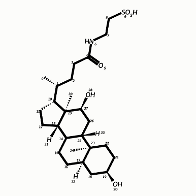 C[C@H](CCC(=O)NCCS(=O)(=O)O)[C@H]1CC[C@H]2C3CC[C@@H]4C[C@H](O)CC[C@]4(C)[C@H]3C[C@H](O)[C@]12C